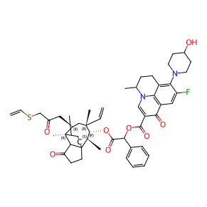 C=CSCC(=O)C[C@H]1C[C@](C)(C=C)[C@H](OC(=O)C(OC(=O)c2cn3c4c(c(N5CCC(O)CC5)c(F)cc4c2=O)CCC3C)c2ccccc2)[C@@H](C)C23CCC(=O)C2[C@]1(C)C(C)CC3